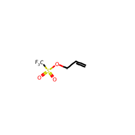 C=C[CH]OS(=O)(=O)C(F)(F)F